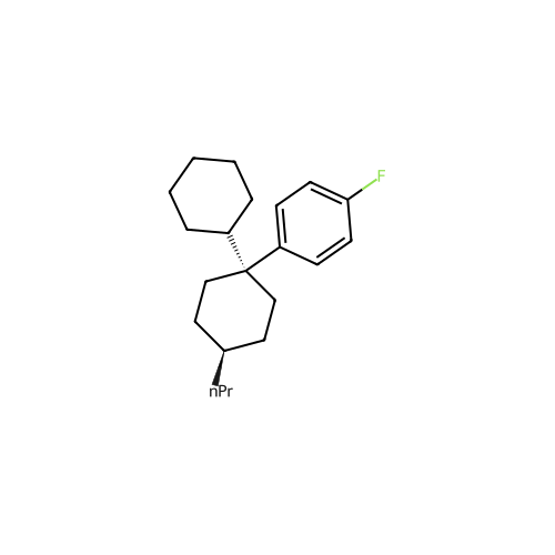 CCC[C@H]1CC[C@](c2ccc(F)cc2)(C2CCCCC2)CC1